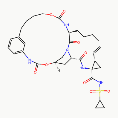 C=C[C@@H]1C[C@]1(NC(=O)[C@@H]1C[C@@H]2CN1C(=O)[C@H](CCCC)NC(=O)OCCCCc1cccc(c1)NC(=O)O2)C(=O)NS(=O)(=O)C1CC1